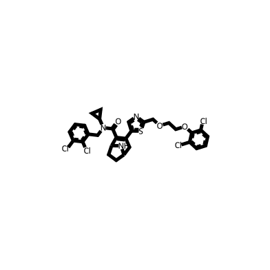 O=C(C1=C(c2cnc(COCCOc3c(Cl)cccc3Cl)s2)CC2CCC1N2)N(Cc1cccc(Cl)c1Cl)C1CC1